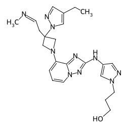 CCc1cnn(C2(C/C=N\C)CN(c3cccn4nc(Nc5cnn(CCCO)c5)nc34)C2)c1